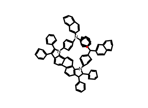 c1ccc(-c2c(-c3ccccc3)n(-c3ccc(N(c4ccccc4)c4ccc5ccccc5c4)cc3)c3c2ccc2c4ccc5c(c4ccc23)N(c2ccc(C(c3ccccc3)c3ccc4ccccc4c3)cc2)C(c2ccccc2)C5c2ccccc2)cc1